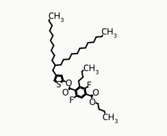 CCCCCCCCCCCCC(CCCCCCCCCC)Cc1csc(OC(=O)c2c(F)cc(C(=O)OCCCC)c(F)c2CCCC)c1